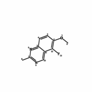 COc1ccc2nc(C)ncc2c1F